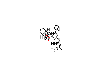 CCS(=O)(=O)N1[C@@H]2CCC[C@H]1C[C@H](N(C)c1nc(NC(=N)/C=C(/C)N)cc(C3CCCO3)n1)C2